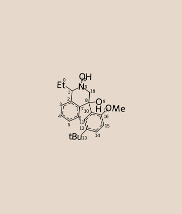 CCC1c2ccccc2C(O)(c2cc(C(C)(C)C)ccc2OC)CN1O